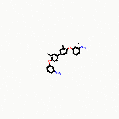 Cc1cc(-c2ccc(Oc3cccc(N)c3)c(C)c2)ccc1Oc1cccc(N)c1